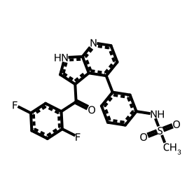 CS(=O)(=O)Nc1cccc(-c2ccnc3[nH]cc(C(=O)c4cc(F)ccc4F)c23)c1